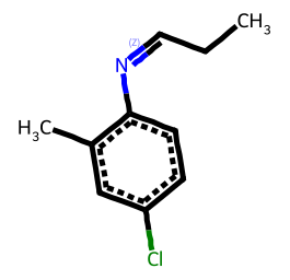 CC/C=N\c1ccc(Cl)cc1C